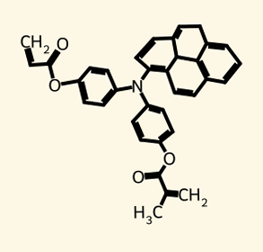 C=CC(=O)Oc1ccc(N(C2=C3C=Cc4cccc5c4C3C(=CC5)C=C2)c2ccc(OC(=O)C(=C)C)cc2)cc1